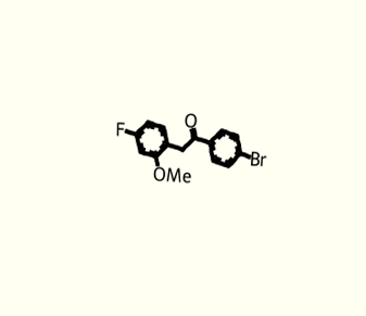 COc1cc(F)ccc1CC(=O)c1ccc(Br)cc1